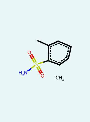 C.Cc1ccccc1S(N)(=O)=O